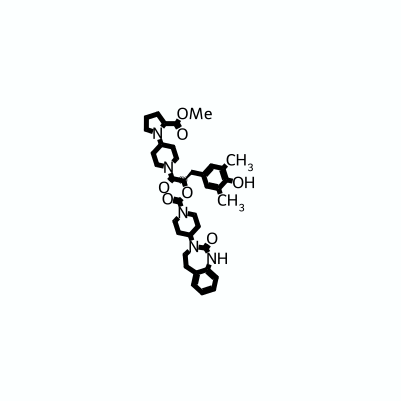 COC(=O)C1CCCN1C1CCN(C(=O)[C@@H](Cc2cc(C)c(O)c(C)c2)OC(=O)N2CCC(N3CCc4ccccc4NC3=O)CC2)CC1